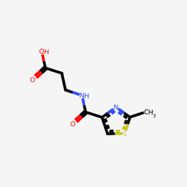 Cc1nc(C(=O)NCCC(=O)O)cs1